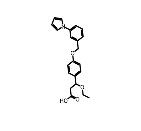 CCOC(CC(=O)O)c1ccc(OCc2cccc(-n3cccc3)c2)cc1